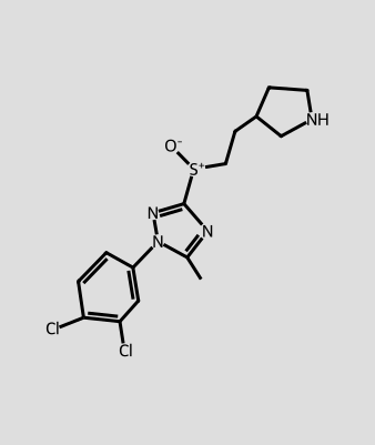 Cc1nc([S+]([O-])CCC2CCNC2)nn1-c1ccc(Cl)c(Cl)c1